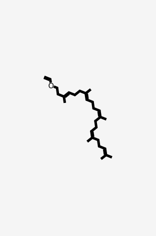 C=COCCC(C)=CCCC(C)=CCCC=C(C)CCC=C(C)CCC=C(C)C